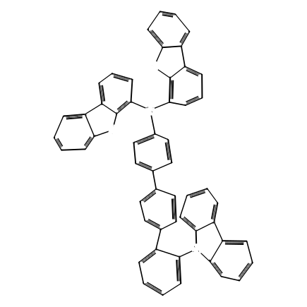 c1ccc(-n2c3ccccc3c3ccccc32)c(-c2ccc(-c3ccc(N(c4cccc5c4sc4ccccc45)c4cccc5c4sc4ccccc45)cc3)cc2)c1